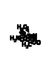 CSCC[C@H](NC(=O)[C@H]1NC(=O)CC1C)C(=O)N1CSCC1C(N)=O